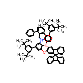 CC(C)(C)c1cc(-c2ccc3c(c2)N(Cc2c(-c4ccccc4)cccc2-c2ccccc2)c2cc(-c4cc(C(C)(C)C)cc(C(C)(C)C)c4)cc4c2B3c2cc3c(cc2O4)C2(c4ccccc4-c4ccccc42)c2ccccc2-3)cc(C(C)(C)C)c1